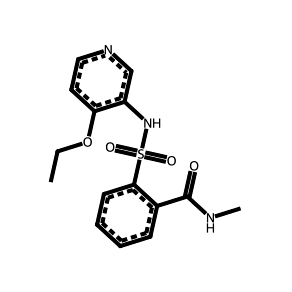 CCOc1ccncc1NS(=O)(=O)c1ccccc1C(=O)NC